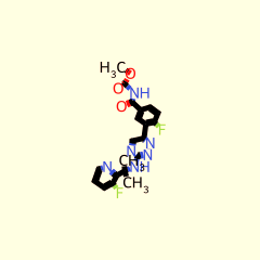 COC(=O)NC(=O)c1ccc(F)c(-c2cnc(NC(C)(C)c3ncccc3F)nn2)c1